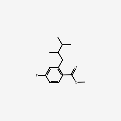 COC(=O)c1ccc(F)cc1CC(C)C(C)C